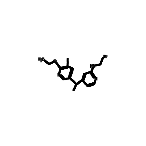 Cc1cc(C(C)c2ccnc(NCC(C)C)c2)cnc1OCC(F)(F)F